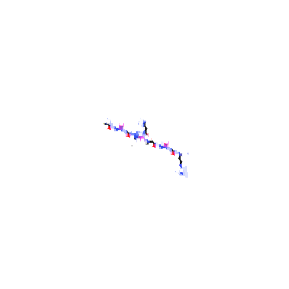 CC(NC(=O)CNC(=O)CNC(=O)C(N)CS)C(=O)NC(Cc1c[nH]cn1)C(=O)NC(CC(=O)NCC(=O)NCC(=O)NC(CCCNC(=N)N)C(=O)O)C(=O)O